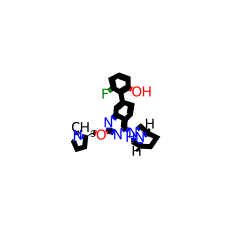 CN1CCC[C@H]1COc1nc(N2C[C@H]3CC[C@@H](C2)N3)c2ccc(-c3c(O)cccc3F)cc2n1